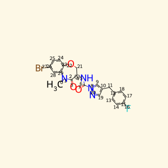 CN1C(=O)[C@@H](NC(=O)n2cc(Cc3ccc(F)cc3)cn2)COc2ccc(Br)cc21